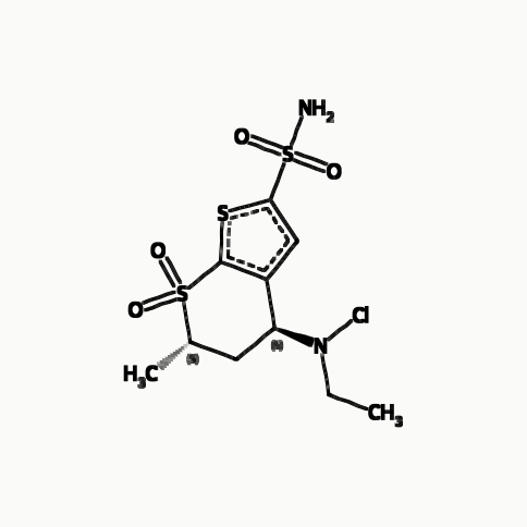 CCN(Cl)[C@H]1C[C@H](C)S(=O)(=O)c2sc(S(N)(=O)=O)cc21